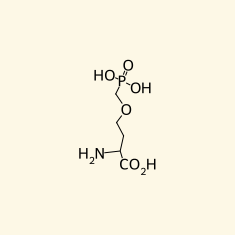 NC(CCOCP(=O)(O)O)C(=O)O